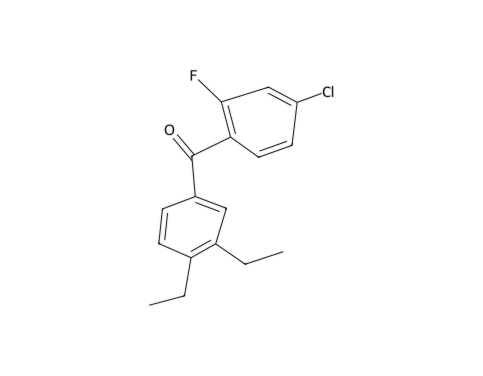 CCc1ccc(C(=O)c2ccc(Cl)cc2F)cc1CC